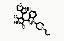 O=C1NC(=O)C(c2nn(C3CCN(CCF)CC3)c3ccccc23)=C1c1c[nH]c2sccc12